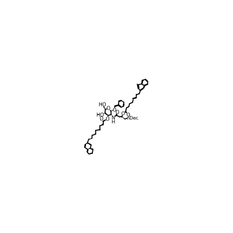 CCCCCCCCCCC[C@@H](CC(=O)N[C@H]1[C@H](OCc2ccccc2)O[C@H](CO)[C@@H](O)[C@@H]1OC(=O)CCCCCCCCc1ccc2ccccc2c1)OC(=O)CCCCCCCCc1ccc2ccccc2c1